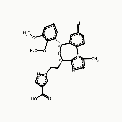 COc1cccc([C@H]2O[C@H](CCn3cc(C(=O)O)cn3)c3nnc(C)n3-c3ccc(Cl)cc32)c1OC